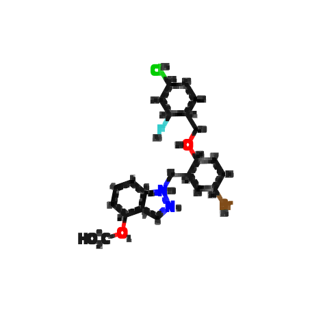 O=C(O)Oc1cccc2c1cnn2Cc1cc(Br)ccc1OCc1ccc(Cl)cc1F